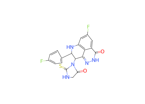 O=C1CNC(=S)N1C1c2n[nH]c(=O)c3cc(F)cc(c23)NC1c1ccc(F)cc1